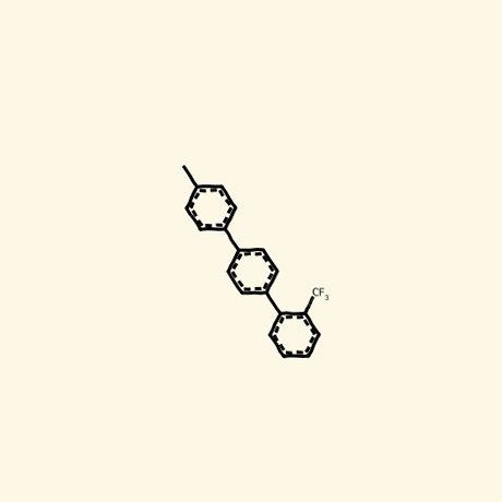 Cc1ccc(-c2ccc(-c3ccccc3C(F)(F)F)cc2)cc1